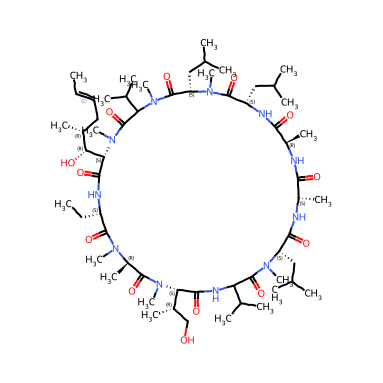 C/C=C/C[C@@H](C)[C@@H](O)[C@H]1C(=O)N[C@@H](CC)C(=O)N(C)[C@H](C)C(=O)N(C)[C@@H]([C@@H](C)CO)C(=O)NC(C(C)C)C(=O)N(C)[C@@H](CC(C)C)C(=O)N[C@@H](C)C(=O)N[C@H](C)C(=O)N[C@@H](CC(C)C)C(=O)N(C)[C@@H](CC(C)C)C(=O)N(C)C(C(C)C)C(=O)N1C